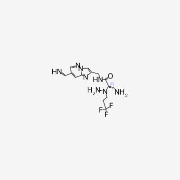 N=Cc1cnn2cc(CNC(=O)/C(=C/N)N(N)CCC(F)(F)F)nc2c1